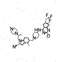 COc1nc(NC2CCN(Cc3ccc4c(cc(C#N)n4C[C@H](C)N4CCN(C)CC4)c3C)CC2)c2cc(CC(F)(F)F)sc2n1